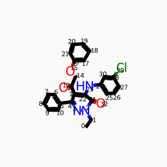 CCn1nc(-c2ccccc2)c(C(=O)COc2ccccc2)c(Nc2cccc(Cl)c2)c1=O